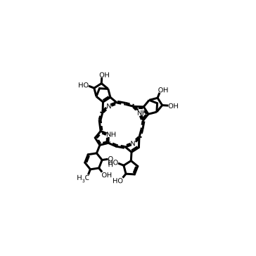 CC1C=CC(c2cc3cc4nc(cc5[nH]c(cc6nc(cc2[nH]3)C(C2C=CC(O)C2O)=C6)c2c5C3CC2C(O)C3O)C2=C4C3CC2C(O)C3O)C(O)C1O